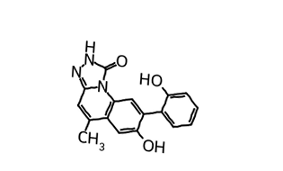 Cc1cc2n[nH]c(=O)n2c2cc(-c3ccccc3O)c(O)cc12